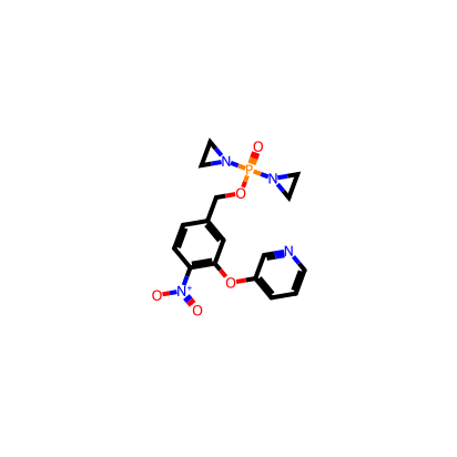 O=[N+]([O-])c1ccc(COP(=O)(N2CC2)N2CC2)cc1Oc1cccnc1